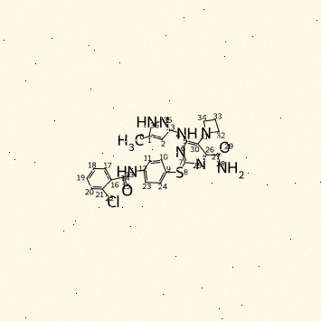 Cc1cc(Nc2nc(Sc3ccc(NC(=O)c4ccccc4Cl)cc3)nc(C(N)=O)c2N2CCC2)n[nH]1